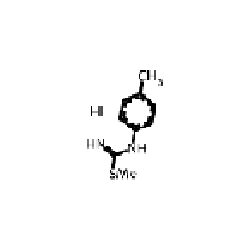 CSC(=N)Nc1ccc(C)cc1.I